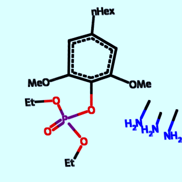 CCCCCCc1cc(OC)c(OP(=O)(OCC)OCC)c(OC)c1.CN.CN.CN